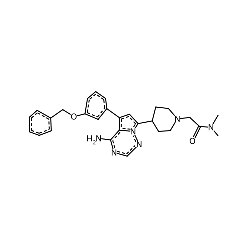 CN(C)C(=O)CN1CCC(c2cc(-c3cccc(OCc4ccccc4)c3)c3c(N)ncnn23)CC1